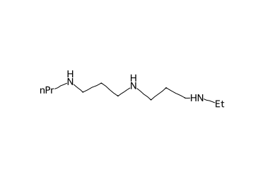 CCCNCCCNCCCNCC